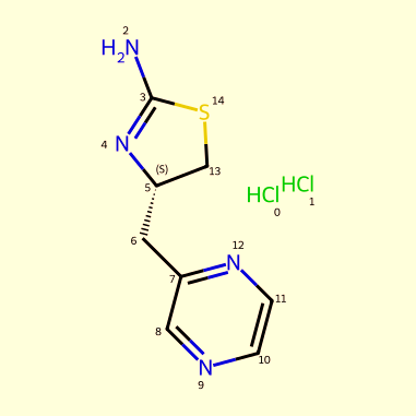 Cl.Cl.NC1=N[C@@H](Cc2cnccn2)CS1